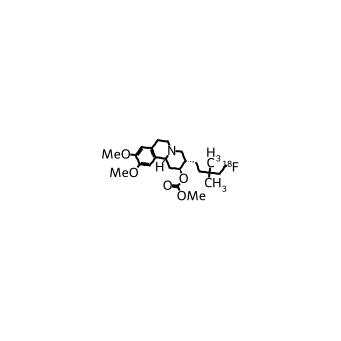 COC(=O)O[C@H]1C[C@H]2c3cc(OC)c(OC)cc3CCN2C[C@@H]1CCC(C)(C)CC[18F]